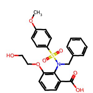 COc1ccc(S(=O)(=O)N(Cc2ccccc2)c2c(OCCO)cccc2C(=O)O)cc1